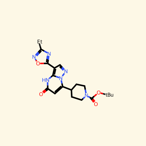 CCc1noc(-c2cnn3c(C4CCN(C(=O)OC(C)(C)C)CC4)cc(=O)[nH]c23)n1